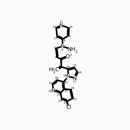 C=C(C(=O)/C=C\N(N)c1ccncc1)c1ccnn1-c1ccnc2cc(Cl)ccc12